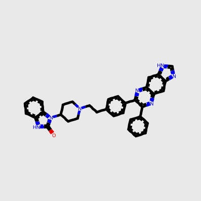 O=c1[nH]c2ccccc2n1C1CCN(CCc2ccc(-c3nc4cc5[nH]cnc5cc4nc3-c3ccccc3)cc2)CC1